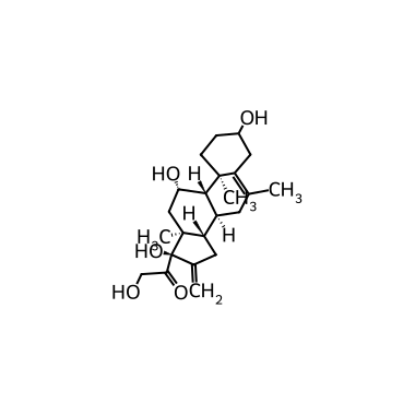 C=C1C[C@H]2[C@@H]3CC(C)=C4CC(O)CC[C@]4(C)[C@H]3[C@@H](O)C[C@]2(C)[C@@]1(O)C(=O)CO